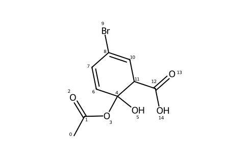 CC(=O)OC1(O)C=CC(Br)=CC1C(=O)O